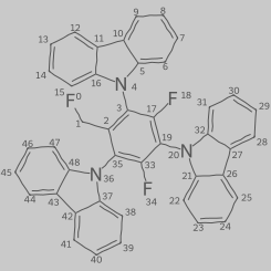 FCc1c(-n2c3ccccc3c3ccccc32)c(F)c(-n2c3ccccc3c3ccccc32)c(F)c1-n1c2ccccc2c2ccccc21